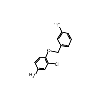 Cc1ccc(OCc2cccc([18F])c2)c(Cl)c1